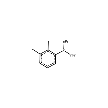 CCCP(CCC)c1cccc(C)c1C